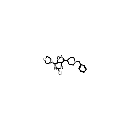 Clc1nc(N2CCOCC2)c2onc(C3CCN(Cc4ccccc4)CC3)c2n1